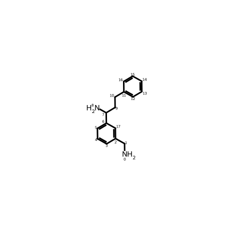 NCc1cccc(C(N)CCc2ccccc2)c1